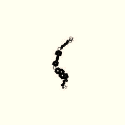 CCOCCCCCCOc1ccc(C#Cc2ccc(OC3CCC4(C)C(CCC5C4CCC4(C)C(C(C)CCCC(C)C)CCC54)C3)cc2)cc1